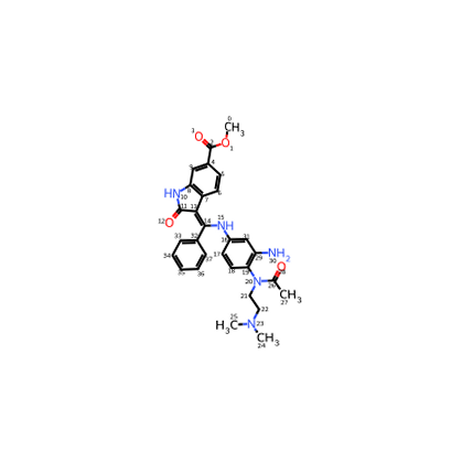 COC(=O)c1ccc2c(c1)NC(=O)C2=C(Nc1ccc(N(CCN(C)C)C(C)=O)c(N)c1)c1ccccc1